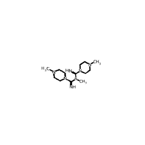 CN1CCN(C(=N)N(C)C(=N)N2CCN(C)CC2)CC1